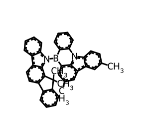 Cc1ccc2c(c1)c1cc(C)cc3c1n2-c1ccccc1B3n1c2ccccc2c2ccc3c(c21)C(C)(C)c1ccccc1-3